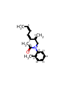 C=C(/C=C\C=C/C)CN(C(C)=O)c1ccccc1C